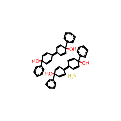 OC1(c2ccccc2)C=CC(=C2C=CC(O)(c3ccccc3)C=C2)C=C1.OC1(c2ccccc2)C=CC(=C2C=CC(O)(c3ccccc3)C=C2)C=C1.S